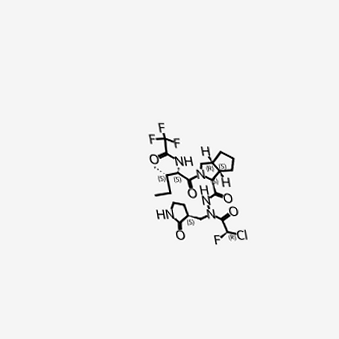 CC[C@H](C)[C@H](NC(=O)C(F)(F)F)C(=O)N1C[C@@H]2CCC[C@@H]2[C@H]1C(=O)NN(C[C@@H]1CCNC1=O)C(=O)[C@H](F)Cl